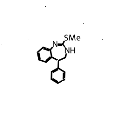 CSC1=Nc2ccccc2C(c2ccccc2)CN1